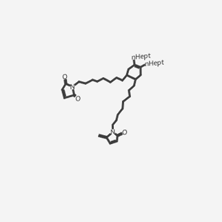 C=C1C=CC(=O)N1CCCCCCCCC1CC(CCCCCCC)=C(CCCCCCC)CC1CCCCCCCCN1C(=O)C=CC1=O